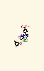 Cc1cccc(OCCN(C)C2(C(=O)NC3(c4ccc(C(=O)O)cc4)CC3)CCOCC2)c1.Cl